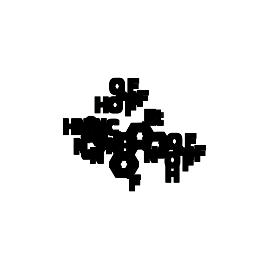 CCc1cc(C(C)Nc2ncnc3[nH]cnc23)c(-c2cccc(F)c2)c2ncccc12.O=C(O)C(F)(F)F.O=C(O)C(F)(F)F